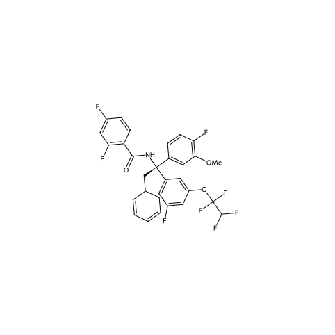 COc1cc([C@@](CC2C=CC=CC2)(NC(=O)c2ccc(F)cc2F)c2cc(F)cc(OC(F)(F)C(F)F)c2)ccc1F